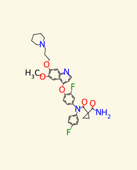 COc1cc2c(Oc3ccc(N(C(=O)C4(C(N)=O)CC4)c4ccc(F)cc4)cc3F)ccnc2cc1OCCCN1CCCCC1